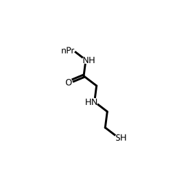 CCCNC(=O)CNCCS